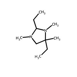 CCC1N(C)CC(C)(CC)N1C